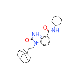 NC(=O)N(CCC12CC3CC(CC(C3)C1)C2)c1cccc(C(=O)NC2CCCCC2)c1